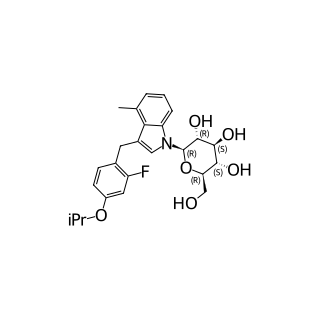 Cc1cccc2c1c(Cc1ccc(OC(C)C)cc1F)cn2[C@@H]1O[C@H](CO)[C@@H](O)[C@H](O)[C@H]1O